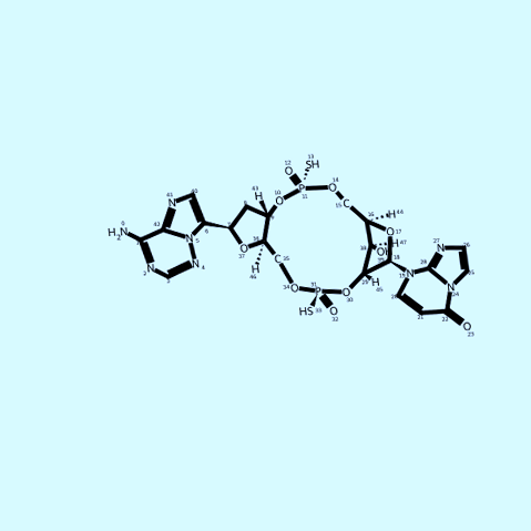 Nc1ncnn2c([C@H]3C[C@@H]4O[P@](=O)(S)OC[C@H]5O[C@@H](n6ccc(=O)n7ccnc67)[C@H](O[P@@](=O)(S)OC[C@H]4O3)[C@@H]5O)cnc12